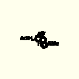 CCCN1C[C@H](CNC(C)=O)C[C@@H]2c3cccc(NC)c3CC[C@H]21